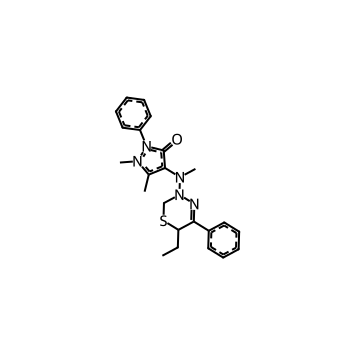 CCC1SCN(N(C)c2c(C)n(C)n(-c3ccccc3)c2=O)N=C1c1ccccc1